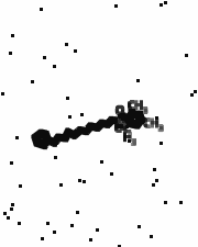 Cc1cc(C)c(C(=O)[PH](=O)CCCCCCCCCCCCc2ccccc2)c(C)c1